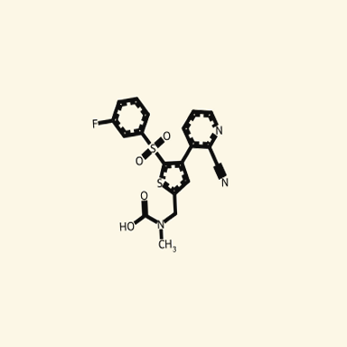 CN(Cc1cc(-c2cccnc2C#N)c(S(=O)(=O)c2cccc(F)c2)s1)C(=O)O